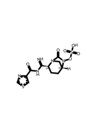 N=C(NC(=O)c1cscn1)[C@@H]1CC[C@@H]2CN1C(=O)N2OS(=O)(=O)O